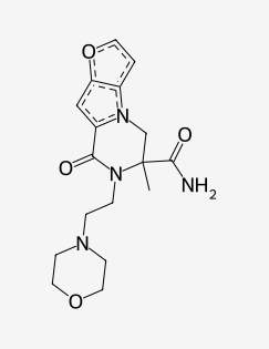 CC1(C(N)=O)Cn2c(cc3occc32)C(=O)N1CCN1CCOCC1